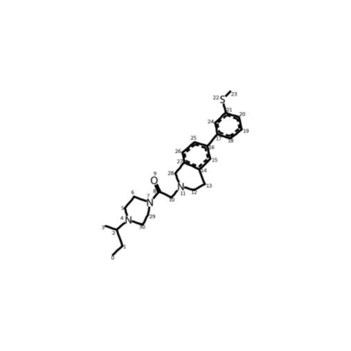 CCC(C)N1CCN(C(=O)CN2CCc3cc(-c4cccc(SC)c4)ccc3C2)CC1